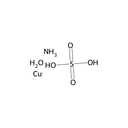 N.O.O=S(=O)(O)O.[Cu]